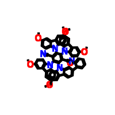 COc1ccc2c(c1)c1cc(OC)ccc1n2-c1c(C#N)c(-n2c3ccc(OC)cc3c3cc(OC)ccc32)c(-n2c3ccc(C)cc3c3ccc4c5ccccc5oc4c32)c(C#N)c1-n1c2ccc(OC)cc2c2cc(OC)ccc21